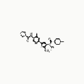 Cc1cc(-c2cc(N(C(=O)[C@H]3CC[C@H](C)CC3)C(C)C)c(C(=O)O)s2)ncc1NC(=O)C1CSC=N1